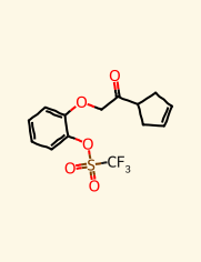 O=C(COc1ccccc1OS(=O)(=O)C(F)(F)F)C1CC=CC1